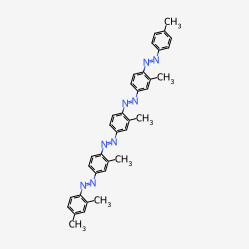 Cc1ccc(N=Nc2ccc(N=Nc3ccc(N=Nc4ccc(N=Nc5ccc(C)cc5C)cc4C)cc3C)cc2C)cc1